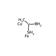 [BH2][V]([CH3])[SiH3].[Cu].[Fe]